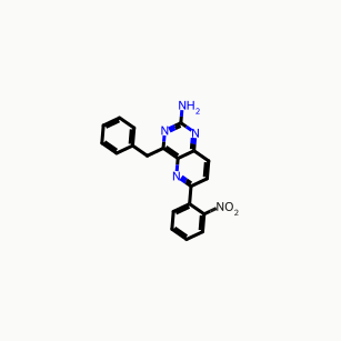 Nc1nc(Cc2ccccc2)c2nc(-c3ccccc3[N+](=O)[O-])ccc2n1